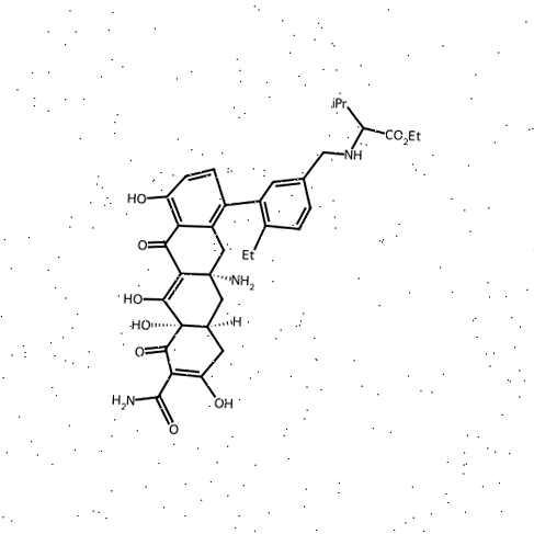 CCOC(=O)C(NCc1ccc(CC)c(-c2ccc(O)c3c2C[C@@]2(N)C[C@H]4CC(O)=C(C(N)=O)C(=O)[C@@]4(O)C(O)=C2C3=O)c1)C(C)C